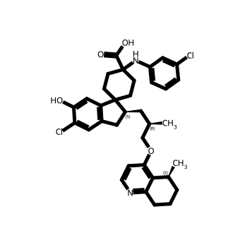 C[C@@H](COc1ccnc2c1[C@@H](C)CCC2)C[C@H]1Cc2cc(Cl)c(O)cc2C12CCC(Nc1cccc(Cl)c1)(C(=O)O)CC2